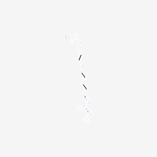 CCC/C=C/C/C=C/C=C/C=NNN=O